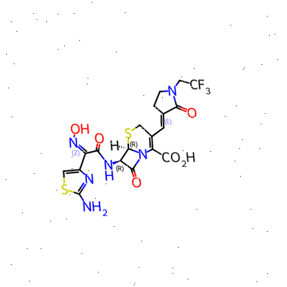 Nc1nc(/C(=N/O)C(=O)N[C@@H]2C(=O)N3C(C(=O)O)=C(/C=C4\CCN(CC(F)(F)F)C4=O)CS[C@H]23)cs1